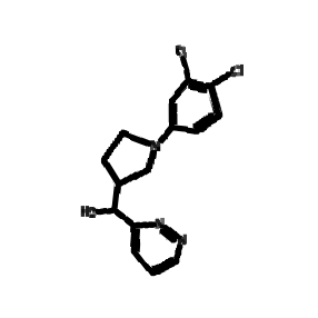 OC(c1cccnn1)C1CCN(c2ccc(Cl)c(Cl)c2)C1